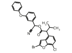 CC(C)C(C(=O)OC(C#N)c1cccc(Oc2ccccc2)c1)c1ccc(Cl)c2oc(Br)cc12